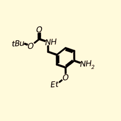 CCOc1cc(CNC(=O)OC(C)(C)C)ccc1N